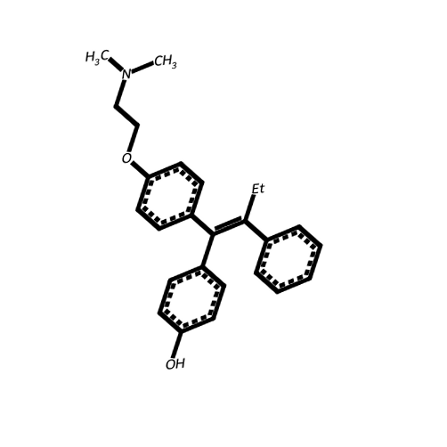 CCC(=C(c1ccc(O)cc1)c1ccc(OCCN(C)C)cc1)c1ccccc1